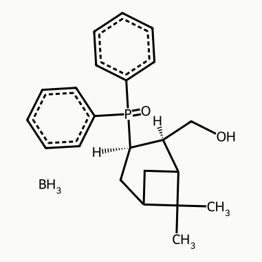 B.CC1(C)C2CC1[C@H](CO)[C@H](P(=O)(c1ccccc1)c1ccccc1)C2